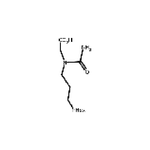 CCCCCCCCCN(CC(=O)O)C(N)=O